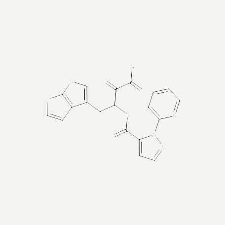 NC(=O)C(=O)C(Cc1c[nH]c2occc12)NC(=O)c1ccnn1-c1ccccn1